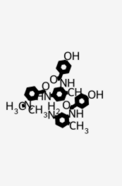 Cc1ccc(N)cc1NC(=O)c1ccc(O)cc1.Cc1ccc(NC(=O)c2cccc(N(C)C)c2)cc1NC(=O)c1ccc(O)cc1